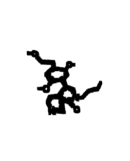 CCCCn1cc(-c2cc(OC)c(C=COC)cc2OC)c2ccncc2c1=O